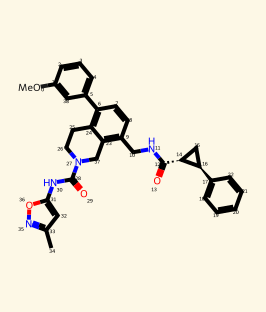 COc1cccc(-c2ccc(CNC(=O)[C@@H]3C[C@H]3c3ccccc3)c3c2CCN(C(=O)Nc2cc(C)no2)C3)c1